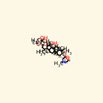 CCOC([C@H]1CC(C)C2[C@H](O1)C(O)C1(C)[C@@H]3CCC4C(C)(C)C(OC5CN(C)CCO5)CCC45CC35CCC21C)C(C)(C)O